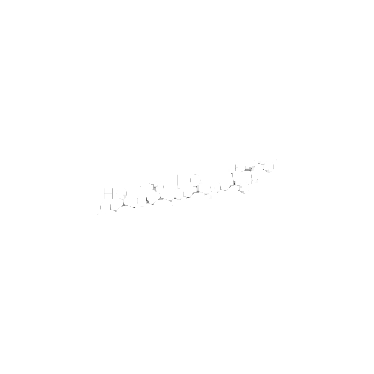 COCC(O)COCC(COCC(O)COCC1COC(COC)CO1)OC